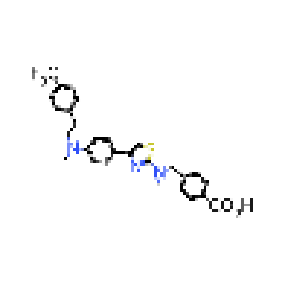 CN(CCc1ccc(C(F)(F)F)cc1)c1ccc(-c2csc(N(C)Cc3ccc(C(=O)O)cc3)n2)cc1